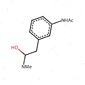 CNC(O)Cc1cccc(NC(C)=O)c1